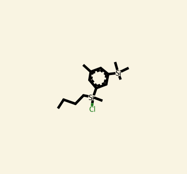 CCCC[Si](C)(Cl)c1cc(C)cc([Si](C)(C)C)c1